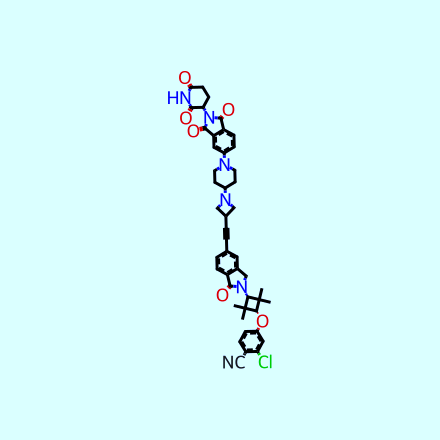 CC1(C)[C@H](Oc2ccc(C#N)c(Cl)c2)C(C)(C)[C@H]1N1Cc2cc(C#CC3CN(C4CCN(c5ccc6c(c5)C(=O)N(C5CCC(=O)NC5=O)C6=O)CC4)C3)ccc2C1=O